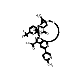 Cc1ncc(-c2cc3c(C(N)=O)nn4c3c(n2)CCCCCCOC[C@@]23C[C@@H](C(=O)Nc5nc(C(F)(F)F)ccc5C)N(C(=O)C4)C2C3C)cn1